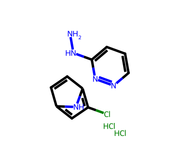 Cl.Cl.Clc1cc2ccc1[nH]2.NNc1cccnn1